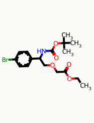 CCOC(=O)COCC(NC(=O)OC(C)(C)C)c1ccc(Br)cc1